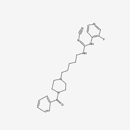 N#CN=C(NCCCCCN1CCN(C(=O)c2ccccc2)CC1)Nc1ccncc1F